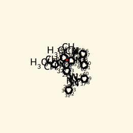 CC(C)(C)c1ccc2c(c1)c1cc(C(C)(C)C)ccc1n2-c1ccc(-c2nc(-c3ccccc3)nc(-c3ccccc3)n2)cc1-c1ccc(C#N)c(-n2c3ccccc3c3ccccc32)c1